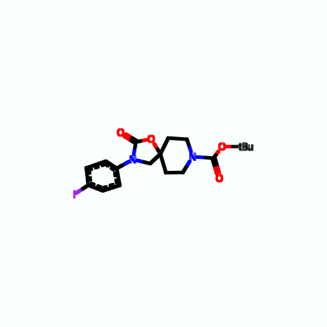 CC(C)(C)OC(=O)N1CCC2(CC1)CN(c1ccc(I)cc1)C(=O)O2